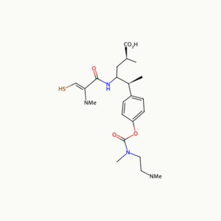 CNCCN(C)C(=O)Oc1ccc([C@H](C)C(C[C@H](C)C(=O)O)NC(=O)/C(=C/S)NC)cc1